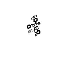 CCCCn1c(CN(Cc2ccccc2)Cc2ccc3c(c2)OCO3)cnc1-c1cccc(F)c1C.F